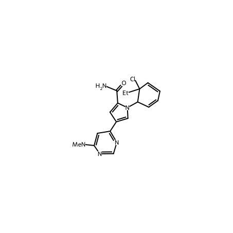 CCC1(Cl)C=CC=CC1n1cc(-c2cc(NC)ncn2)cc1C(N)=O